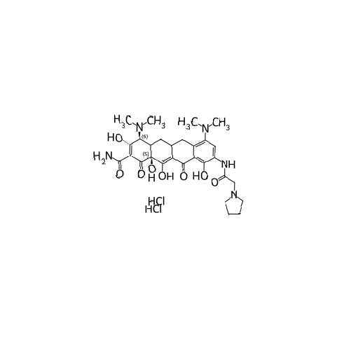 CN(C)c1cc(NC(=O)CN2CCCC2)c(O)c2c1CC1CC3[C@H](N(C)C)C(O)=C(C(N)=O)C(=O)[C@@]3(O)C(O)=C1C2=O.Cl.Cl